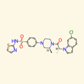 C[C@H](C(=O)N1CCN(c2ccc(S(=O)(=O)Nc3nccs3)cc2)C[C@@H]1C)n1ccc2ccc(Cl)cc21